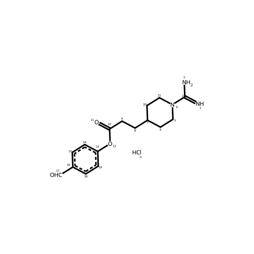 Cl.N=C(N)N1CCC(CCC(=O)Oc2ccc(C=O)cc2)CC1